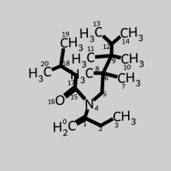 C=C(CC)N(CC(C)(C)C(C)(C)C(C)C)C(=O)CC(C)C